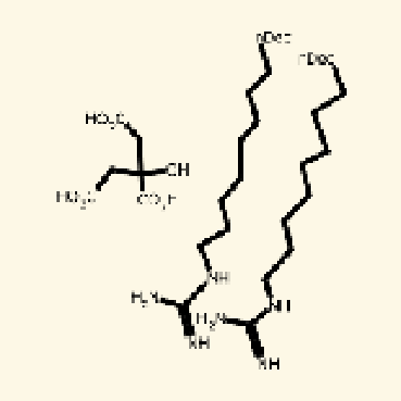 CCCCCCCCCCCCCCCCCCNC(=N)N.CCCCCCCCCCCCCCCCCCNC(=N)N.O=C(O)CC(O)(CC(=O)O)C(=O)O